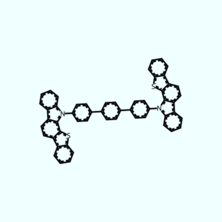 c1ccc2c(c1)sc1c2ccc2c3ccccc3n(-c3ccc(-c4ccc(-c5ccc(-n6c7ccccc7c7ccc8c9ccccc9sc8c76)cc5)cc4)cc3)c21